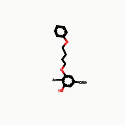 COc1cc(O)c(C(C)=O)c(OCCCCOc2ccccc2)c1